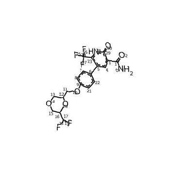 NC(=O)c1cc(-c2ccc(OCC3COCC(C(F)F)O3)cc2)c(C(F)(F)F)[nH]c1=O